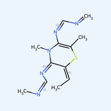 C=N/C=N\C1=C(C)SC(=C/C)/C(=N\C=N/C)N1C